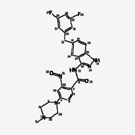 CN1CCN(c2ccc(C(=O)Nc3n[nH]c4ccc(Cc5cc(F)cc(F)c5)cc34)c(N=O)c2)CC1